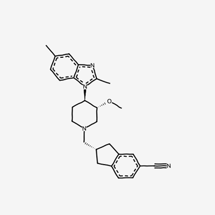 CO[C@@H]1CN(C[C@H]2Cc3ccc(C#N)cc3C2)CC[C@H]1n1c(C)nc2cc(C)ccc21